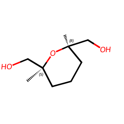 C[C@]1(CO)CCC[C@@](C)(CO)O1